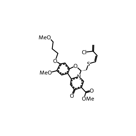 C=C(Cl)/C=C\SC[C@H]1Oc2cc(OCCCOC)c(OC)cc2-c2cc(=O)c(C(=O)OC)cn21